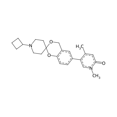 Cc1cc(=O)n(C)cc1-c1ccc2c(c1)COC1(CCN(C3CCC3)CC1)O2